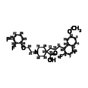 COc1ccc2ncc(F)c(CCCC3(C(=O)O)CCN(CCOc4cccc(F)c4F)CC3)c2c1